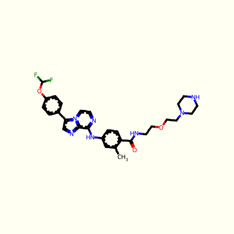 Cc1cc(Nc2nccn3c(-c4ccc(OC(F)F)cc4)cnc23)ccc1C(=O)NCCOCCN1CCNCC1